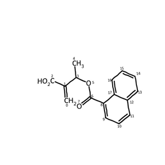 C=C(C(=O)O)C(C)OC(=O)c1cccc2ccccc12